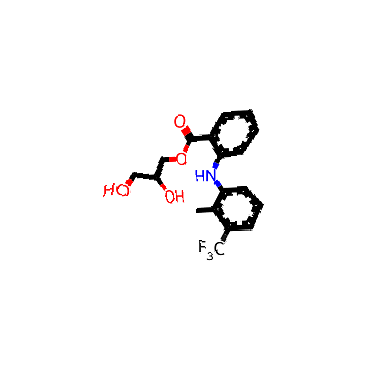 Cc1c(Nc2ccccc2C(=O)OCC(O)CO)cccc1C(F)(F)F